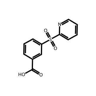 O=C(O)c1cccc(S(=O)(=O)c2ccccn2)c1